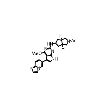 COc1nc(N[C@H]2C[C@@H]3CN(C(C)=O)C[C@@H]3C2)nc2[nH]cc(-c3ccc4nccn4c3)c12